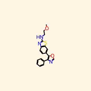 COCCNc1nc2ccc(-c3ocnc3-c3ccccc3)cc2s1